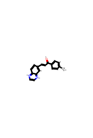 O=C(C=Cc1ccc2nccnc2c1)c1ccc(C(F)(F)F)cc1